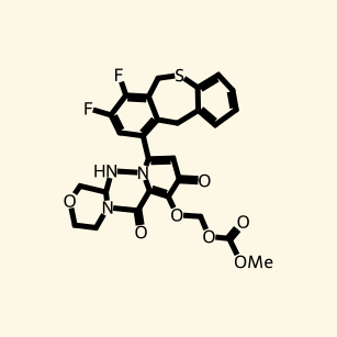 COC(=O)OCOc1c2n(c(-c3cc(F)c(F)c4c3Cc3ccccc3SC4)cc1=O)NC1COCCN1C2=O